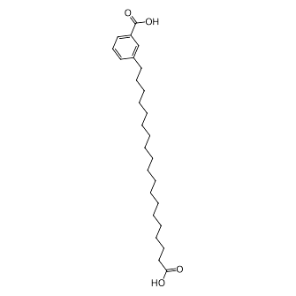 O=C(O)CCCCCCCCCCCCCCCCCCc1cccc(C(=O)O)c1